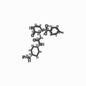 Cc1ccc(S(=O)(=O)N2C=CNC(=O)[C@H]2CC(=O)N[C@H]2CC[C@@H](NC(C)C)CC2)cc1